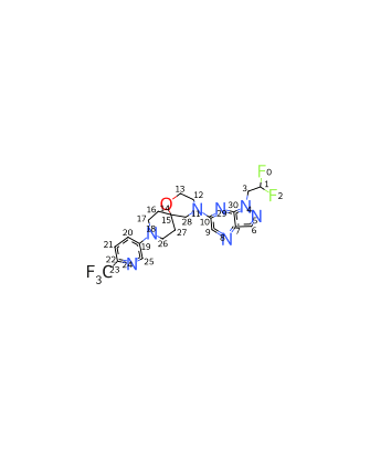 FC(F)Cn1ncc2ncc(N3CCOC4(CCN(c5ccc(C(F)(F)F)nc5)CC4)C3)nc21